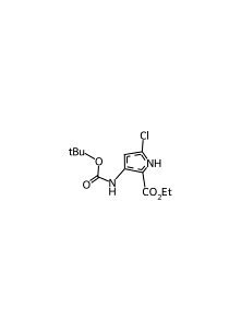 CCOC(=O)c1[nH]c(Cl)cc1NC(=O)OC(C)(C)C